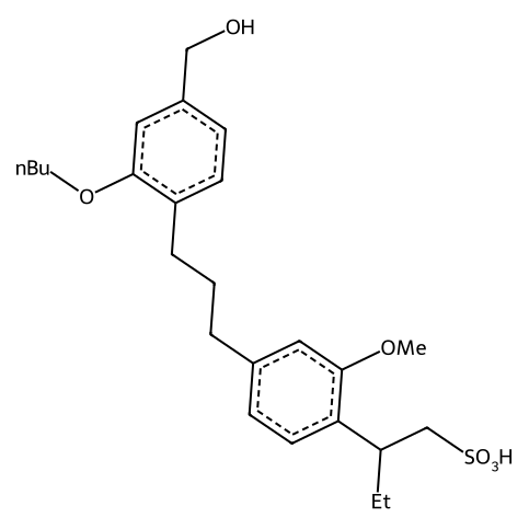 CCCCOc1cc(CO)ccc1CCCc1ccc(C(CC)CS(=O)(=O)O)c(OC)c1